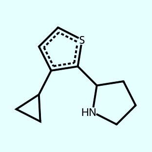 c1cc(C2CC2)c(C2CCCN2)s1